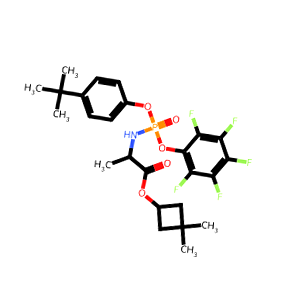 CC(NP(=O)(Oc1ccc(C(C)(C)C)cc1)Oc1c(F)c(F)c(F)c(F)c1F)C(=O)OC1CC(C)(C)C1